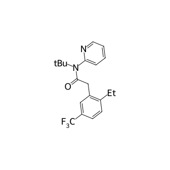 CCc1ccc(C(F)(F)F)cc1CC(=O)N(c1ccccn1)C(C)(C)C